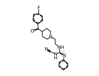 N#CN/C(=N\c1ccccc1)NCCN1CCC(C(=O)c2ccc(F)cc2)CC1